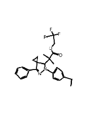 CCc1ccc(N2N=C(c3ccccc3)C3(CC3)C2C(C)(C)C(=O)OCC(F)(F)F)cc1